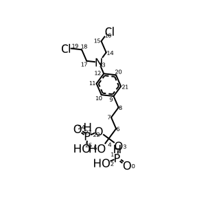 O=[PH](O)OC(O)(CCCc1ccc(N(CCCl)CCCl)cc1)O[PH](=O)O